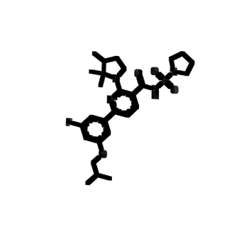 CC(C)COc1cc(F)cc(-c2ccc(C(=O)NS(=O)(=O)N3CCCC3)c(N3CCC(C)C3(C)C)n2)c1